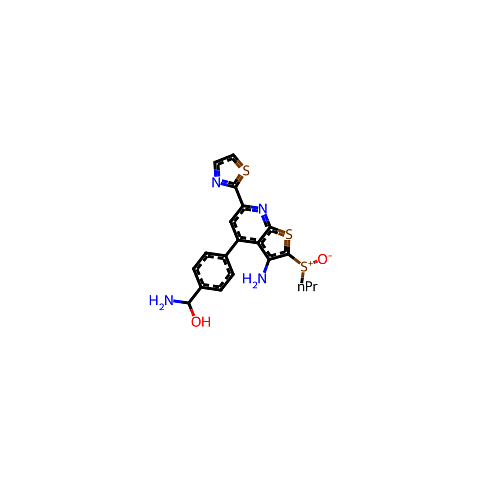 CCC[S+]([O-])c1sc2nc(-c3nccs3)cc(-c3ccc(C(N)O)cc3)c2c1N